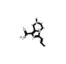 C/C=C/c1nc(C(N)=O)c2n1CCN(C)C2